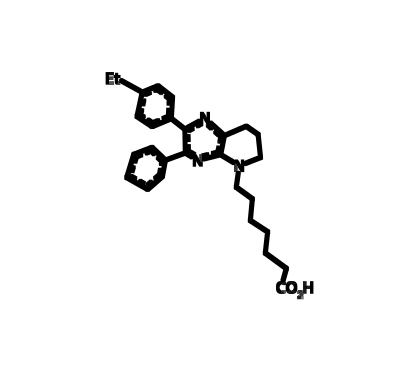 CCc1ccc(-c2nc3c(nc2-c2ccccc2)N(CCCCCCC(=O)O)CCC3)cc1